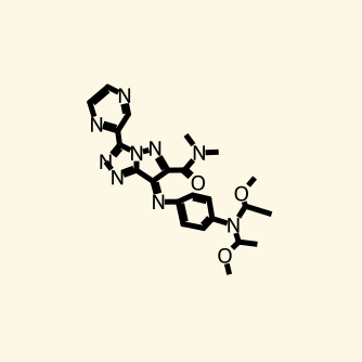 COC(C)N(c1ccc(/N=C2\C(C(=O)N(C)C)=Nn3c2nnc3-c2cnccn2)cc1)C(C)OC